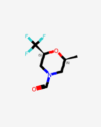 C[C@H]1CN(C=O)C[C@@H](C(F)(F)F)O1